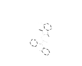 Cc1cccc2c1C(=O)N(CC(C)N1c3ccccc3Oc3ccccc31)C2=O